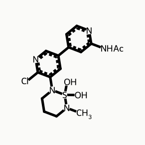 CC(=O)Nc1cc(-c2cnc(Cl)c(N3CCCN(C)S3(O)O)c2)ccn1